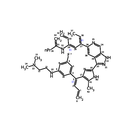 C=C/C=C(/c1cc(F)cc(NCCN(C)C)c1)c1cc(-c2n[nH]c3cnc(C(/C=C(\C=C)NC(=C)CCC)=C/C)cc23)[nH]c1C